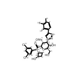 CO[C@@H]1[C@@H](n2cc(-c3ccc(C)c(F)c3F)nn2)[C@@H](O)[C@@H](CO)O[C@H]1C(=O)N(c1cc(Cl)cc(Cl)c1)[C@@H]1CC[C@H]1O